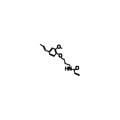 C=CC(=O)NCCCCOc1ccc(C=CC)cc1OC